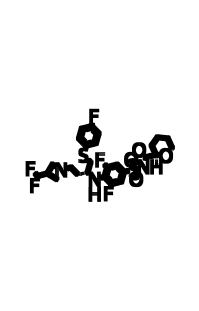 C[C@]1(C(=O)NS(=O)(=O)c2cc(F)c(N[C@H](CCN3CC(C(F)F)C3)CSc3ccc(F)cc3)c(F)c2)CCCCO1